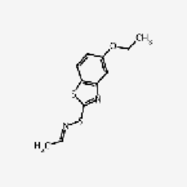 C/C=N/Sc1nc2cc(OCC)ccc2s1